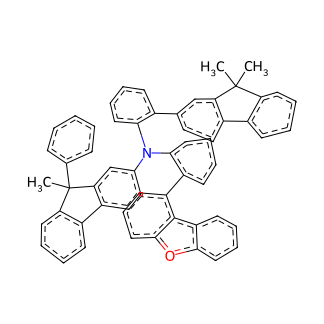 CC1(C)c2ccccc2-c2ccc(-c3ccccc3N(c3ccc4c(c3)C(C)(c3ccccc3)c3ccccc3-4)c3ccccc3-c3cccc4oc5ccccc5c34)cc21